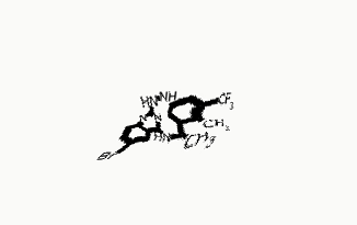 Cc1c(C(C)Nc2nc(NN)nc3ccc(Br)cc23)cccc1C(F)(F)F